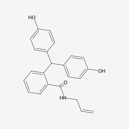 C=CCNC(=O)c1ccccc1C(c1ccc(O)cc1)c1ccc(O)cc1